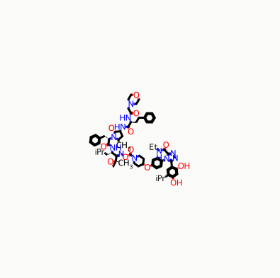 CCNC(=O)c1nnc(-c2cc(C(C)C)c(O)cc2O)n1-c1ccc(OC2CCN(C(=O)O/N=C(/[C@H](CC(C)C)NC(=O)[C@H](Cc3ccccc3)N3C(=O)[C@@H](NC(=O)[C@H](CCc4ccccc4)NC(=O)CN4CCOCC4)CC3C)[C@@]3(C)CO3)CC2)cc1